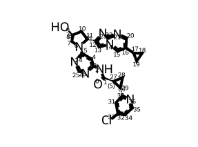 O=C(Nc1cc(N2C[C@@H](O)C[C@@H]2c2cn3cc(C4CC4)cnc3n2)ncn1)[C@H]1C[C@@H]1c1cc(Cl)ccn1